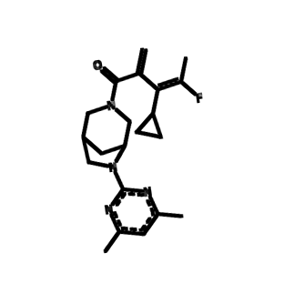 C=C(C(=O)N1CC2CC(C1)N(c1nc(C)cc(C)n1)C2)/C(=C(\C)F)C1CC1